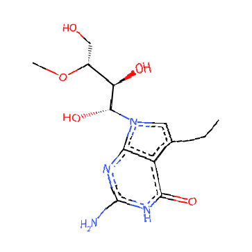 CCc1cn([C@H](O)[C@H](O)[C@@H](CO)OC)c2nc(N)[nH]c(=O)c12